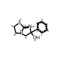 OC1(c2ccccc2)CN2CCSC2=N1